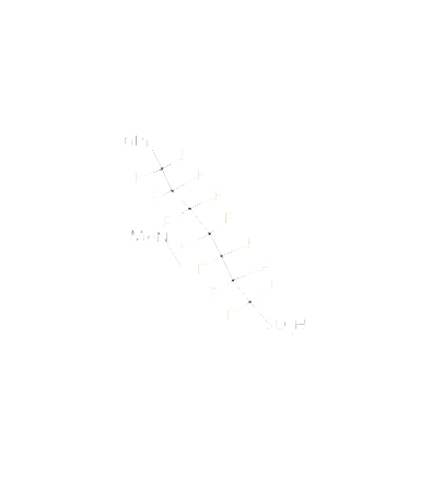 CCCC(F)(F)C(F)(F)C(F)(F)C(F)(F)C(F)(F)C(F)(F)C(F)(F)S(=O)(=O)O.CNC